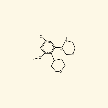 COc1cc(Cl)cc([C@@H]2COCCN2)c1C1CCOCC1